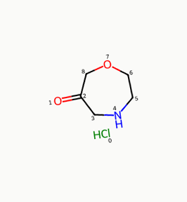 Cl.O=C1CNCCOC1